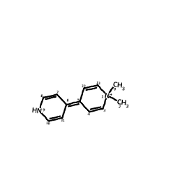 C[N+]1(C)C=CC(=C2C=CNC=C2)C=C1